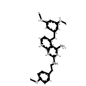 COc1ccc(CCNc2nc(N)c3c(Cc4cc(OC)cc(OC)c4)ccnc3n2)cc1